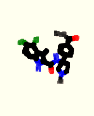 COC(=O)c1ccc(C2(NC(=O)c3[nH]c4ccc(Cl)c(Cl)c4c3C)CCN(C(C)=O)C2)cc1